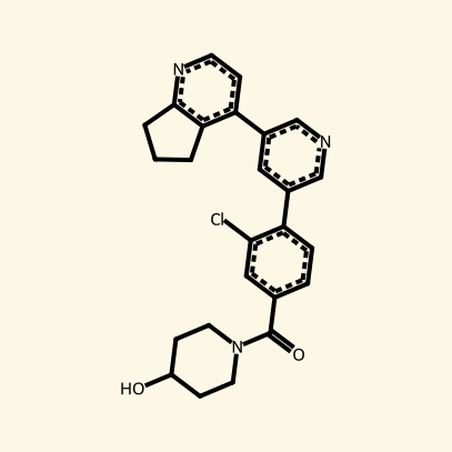 O=C(c1ccc(-c2cncc(-c3ccnc4c3CCC4)c2)c(Cl)c1)N1CCC(O)CC1